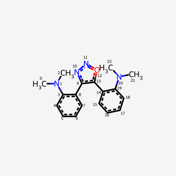 CN(C)c1ccccc1-c1nnoc1-c1ccccc1N(C)C